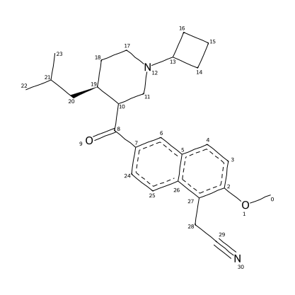 COc1ccc2cc(C(=O)C3CN(C4CCC4)CC[C@@H]3CC(C)C)ccc2c1CC#N